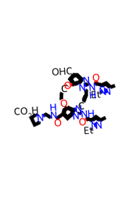 CCn1nc(C)cc1C(=O)Nc1nc2cc(C=O)cc3c2n1C/C=C/Cn1c(NC(=O)c2cc(C)nn2CC)nc2cc(C(=O)NCCN4CCCC4C(=O)O)cc(c21)OCCCO3